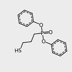 O=P(CCCS)(Oc1ccccc1)Oc1ccccc1